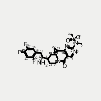 CN(c1ncc(C(=O)N2CCC([C@H](N)Cc3cc(F)c(F)cc3F)CC2)c(C2CC2)n1)S(C)(=O)=O